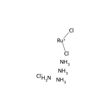 N.N.N.N.[Cl-].[Cl][Ru+][Cl]